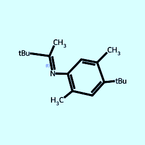 C/C(=N\c1cc(C)c(C(C)(C)C)cc1C)C(C)(C)C